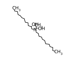 CCCCCCCCCCCCN(CC(O)CCCCCCCCCC)C(C)O